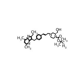 CCc1nn2c(C)cc(C)nc2c1Cc1ccc(/C=C/CN2CCN(C(=O)OC(C)(C)C)[C@H](CO)C2)cc1